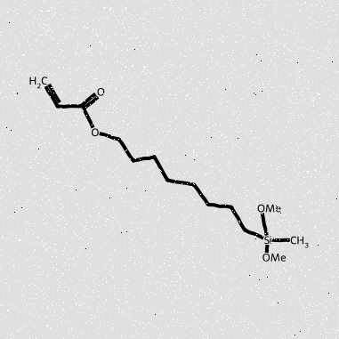 C=CC(=O)OCCCCCCCC[Si](C)(OC)OC